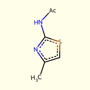 [CH2]C(=O)Nc1nc(C)cs1